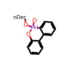 CCCCCCCCCCO[PH]1([O])Oc2ccccc2-c2ccccc21